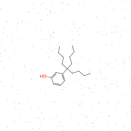 CCCCC(CCCC)(CCCC)c1cccc(O)c1